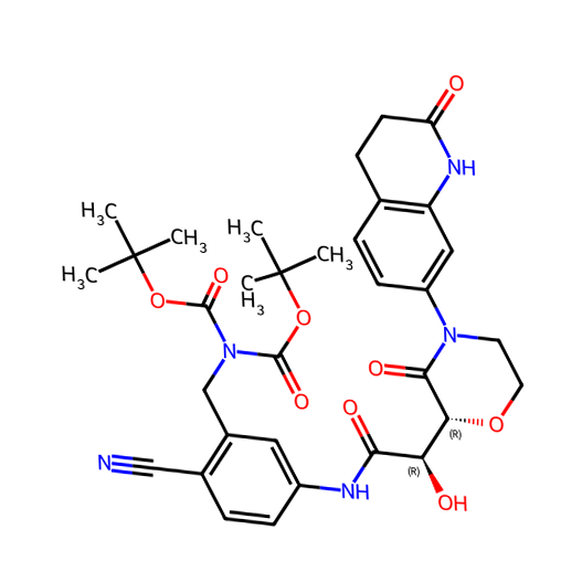 CC(C)(C)OC(=O)N(Cc1cc(NC(=O)[C@H](O)[C@H]2OCCN(c3ccc4c(c3)NC(=O)CC4)C2=O)ccc1C#N)C(=O)OC(C)(C)C